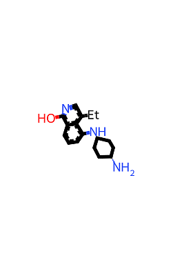 CCc1cnc(O)c2cccc(N[C@H]3CC[C@@H](N)CC3)c12